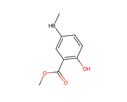 CBc1ccc(O)c(C(=O)OC)c1